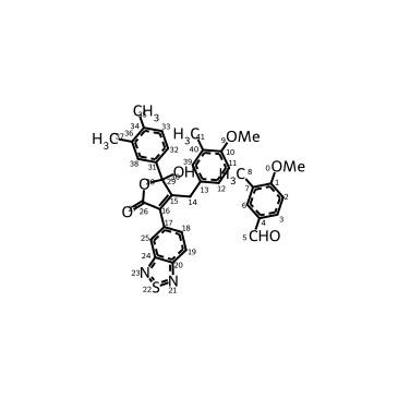 COc1ccc(C=O)cc1C.COc1ccc(CC2=C(c3ccc4nsnc4c3)C(=O)OC2(O)c2ccc(C)c(C)c2)cc1C